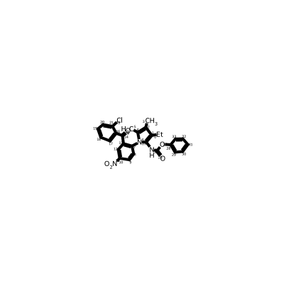 CCc1c(C)c(C)n(-c2ccc([N+](=O)[O-])cc2C(=O)c2ccccc2Cl)c1NC(=O)Oc1ccccc1